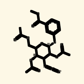 COC(=O)c1cccc(S[C@H]2OC(COC(C)=O)[C@H](OC(C)=O)C(N=[N+]=[N-])C2OC(C)=O)c1